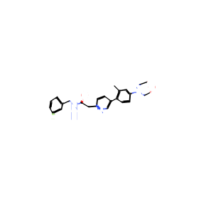 Cc1cc(N2CCOCC2)ccc1-c1ccc(CC(=O)NCc2cccc(F)c2)nc1